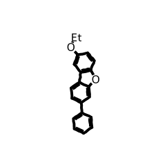 CCOc1ccc2oc3cc(-c4ccccc4)ccc3c2c1